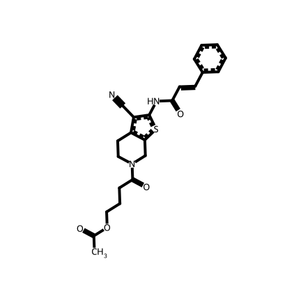 CC(=O)OCCCC(=O)N1CCc2c(sc(NC(=O)C=Cc3ccccc3)c2C#N)C1